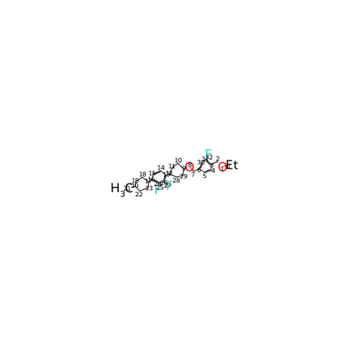 CCOCc1ccc(COC2CCC(c3ccc(C4CCC(C)CC4)c(F)c3F)CC2)cc1F